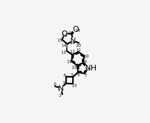 CN(C)C1CC(c2c[nH]c3ccc(C[C@H]4COC(=O)N4C)cc23)C1